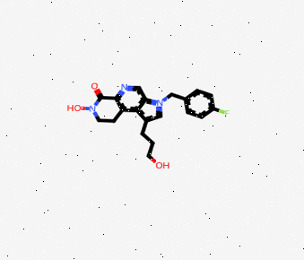 O=C1c2ncc3c(c(CCCO)cn3Cc3ccc(F)cc3)c2CCN1O